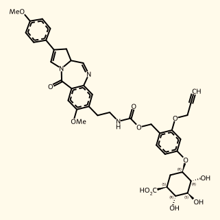 C#CCOc1cc(O[C@@H]2C[C@H](C(=O)O)[C@@H](O)[C@H](O)[C@H]2O)ccc1COC(=O)NCCc1cc2c(cc1OC)C(=O)N1C=C(c3ccc(OC)cc3)CC1C=N2